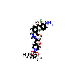 CC(C)(C)OC(=O)N1CCC2(CC1)C[C@H](n1cnc3ccc(C(=O)c4c(F)ccc(N)c4F)cc3c1=O)CO2